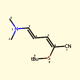 CN(C)C=CC=C(C#N)SC(C)(C)C